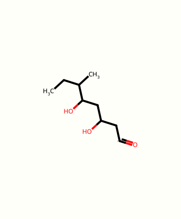 CCC(C)C(O)CC(O)C[C]=O